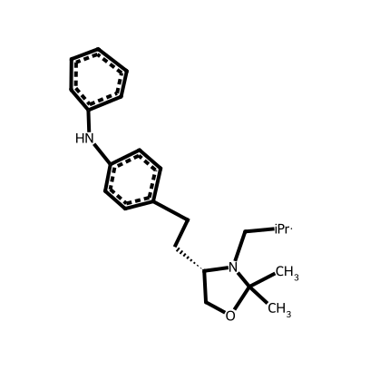 C[C](C)CN1[C@@H](CCc2ccc(Nc3ccccc3)cc2)COC1(C)C